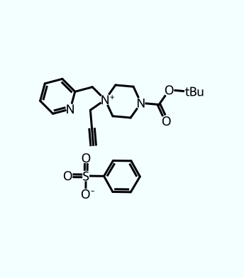 C#CC[N+]1(Cc2ccccn2)CCN(C(=O)OC(C)(C)C)CC1.O=S(=O)([O-])c1ccccc1